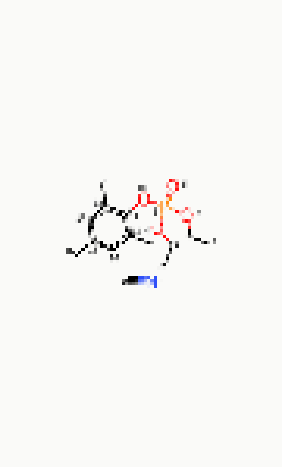 C#N.CCOP(=O)(OCC)Oc1c(C)cc(C)cc1C